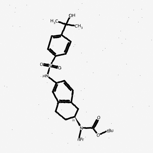 CCCN(C(=O)OC(C)(C)C)[C@H]1CCc2cc(NS(=O)(=O)c3ccc(C(C)(C)O)cc3)ccc2C1